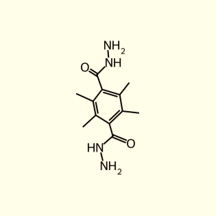 Cc1c(C)c(C(=O)NN)c(C)c(C)c1C(=O)NN